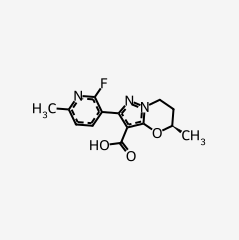 Cc1ccc(-c2nn3c(c2C(=O)O)O[C@H](C)CC3)c(F)n1